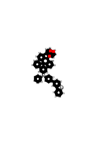 c1ccc(N(c2ccc(-c3ccc4oc5ccccc5c4c3)cc2)c2ccc(C3(c4ccccc4)c4ccccc4C4(c5ccccc5)c5ccccc5-c5cccc3c54)cc2)cc1